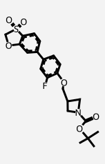 CC(C)(C)OC(=O)N1CC(COc2ccc(-c3ccc4c(c3)OCS4(=O)=O)cc2F)C1